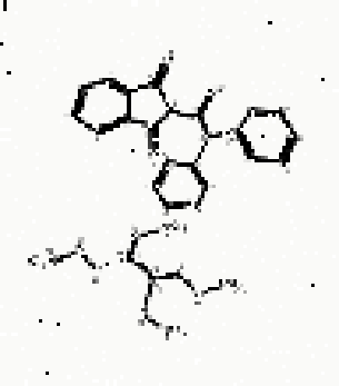 O=C1c2ccccc2C(=O)C1C(=O)C(c1ccccc1)c1ccccc1.O=[N+]([O-])OC[C@H](O[N+](=O)[O-])[C@@H](CO[N+](=O)[O-])O[N+](=O)[O-]